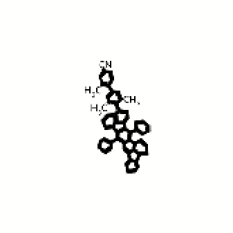 Cc1cc(C#N)ccc1-c1cc(C)c(-c2ccc3c4c(-c5ccccc5)c5c(cc6c7ccccc7c7cccc5c76)c(-c5ccccc5)c4c4cccc2c43)c(C)c1